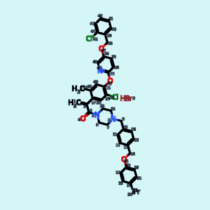 Br.C=C(C(=O)N1CCN(Cc2ccc(COc3ccc(C(C)C)cc3)cc2)CC1)c1cc(Cl)c(Oc2ccc(OCc3ccccc3Cl)cn2)cc1C